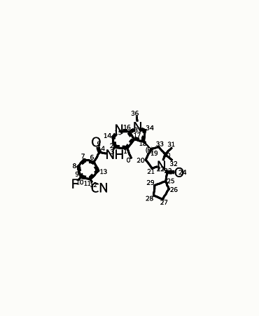 Cc1c(NC(=O)c2ccc(F)c(C#N)c2)cnc2c1c([C@@H]1CCN(C(=O)C3CCCC3)C(C)(C)C1)cn2C